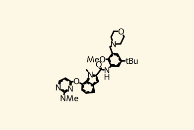 CNc1nccc(Oc2cccc3cc(C(=O)Nc4cc(C(C)(C)C)cc(CN5CCOCC5)c4OC)n(C)c23)n1